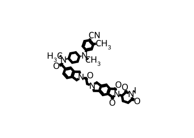 Cc1cc(N(C)[C@H]2CC[C@H](N(C)C(=O)c3ccc4c(c3)CN(C(=O)CN3Cc5cc6c(cc5C3)C(=O)N(C3CCC(=O)N(I)C3=O)C6=O)C4)CC2)ccc1C#N